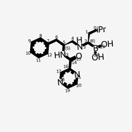 CC(C)C[C@H](NC[C@H](Cc1ccccc1)NC(=O)c1cnccn1)B(O)O